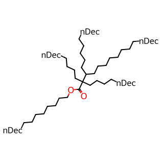 CCCCCCCCCCCCCCCCCCOC(=O)C(CCCCCCCCCCCCCC)(CCCCCCCCCCCCCC)C(CCCCCCCCCCCCCCC)CCCCCCCCCCCCCCCCCC